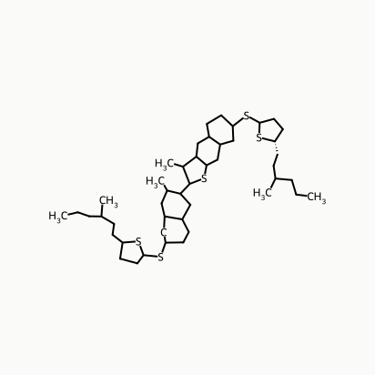 CCCC(C)CCC1CCC(SC2CCC3CC(C4SC5CC6CC(SC7CC[C@H](CCC(C)CCC)S7)CCC6CC5C4C)C(C)CC3C2)S1